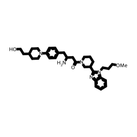 COCCCn1c(C2CCCN(C(=O)CC(N)Cc3ccc(N4CCC(CCO)CC4)cc3)C2)nc2ccccc21